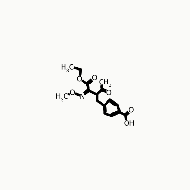 CCOC(=O)C(=NOC)C(Cc1ccc(C(=O)O)cc1)C(C)=O